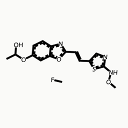 CF.CONc1ncc(C=Cc2nc3ccc(OC(C)O)cc3o2)s1